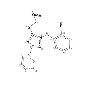 COCSc1nc(-c2ccccc2)cn1Cc1ccccc1F